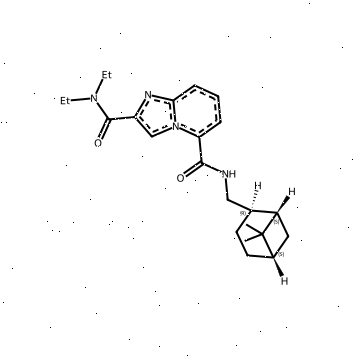 CCN(CC)C(=O)c1cn2c(C(=O)NC[C@@H]3CC[C@H]4C[C@@H]3C4(C)C)cccc2n1